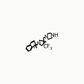 FC(F)(F)C12CN(c3ccc4ccccc4n3)CC1(CN1CCNCC1)C2